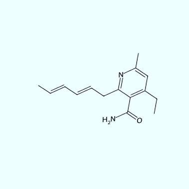 CC=CC=CCc1nc(C)cc(CC)c1C(N)=O